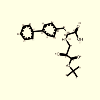 CC(C)(C)OC(=O)C(=O)CN[C@H](Cc1ccc(-c2ccccc2)cc1)C(=O)O